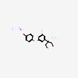 COC1(c2cc(F)cc(Sc3ccc(CON)cc3)c2)CCOCC1